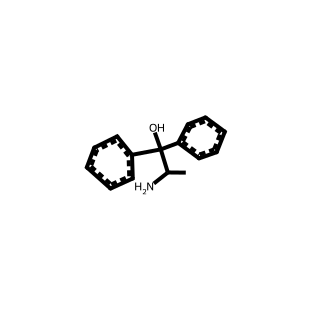 CC(N)C(O)(c1ccccc1)c1ccccc1